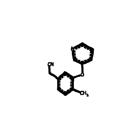 Cc1ccc(CC#N)cc1Oc1cccnc1